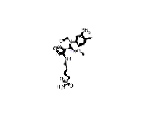 Bc1cc(N(C=O)/C(=N\OC)c2nonc2NCCCCS(N)(=O)=O)ccc1F